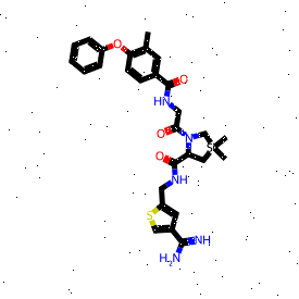 Cc1cc(C(=O)NCC(=O)N2C[Si](C)(C)CC2C(=O)NCc2cc(C(=N)N)cs2)ccc1Oc1ccccc1